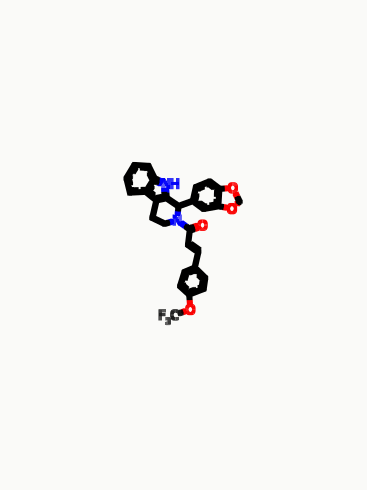 O=C(/C=C/c1ccc(OC(F)(F)F)cc1)N1CCc2c([nH]c3ccccc23)C1c1ccc2c(c1)OCO2